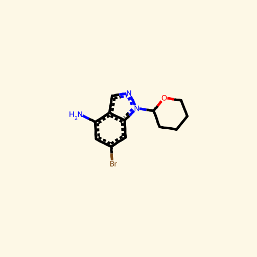 Nc1cc(Br)cc2c1cnn2C1CCCCO1